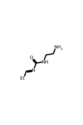 CCC=NC(=O)NCCN